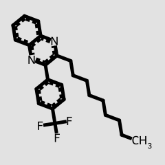 CCCCCCCCCc1nc2ccccc2nc1-c1ccc(C(F)(F)F)cc1